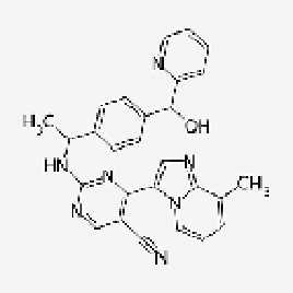 Cc1cccn2c(-c3nc(NC(C)c4ccc(C(O)c5ccccn5)cc4)ncc3C#N)cnc12